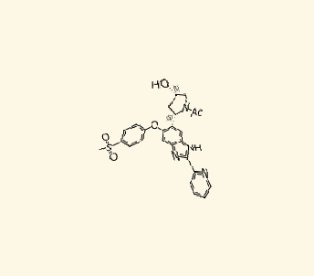 CC(=O)N1C[C@@H](O)C[C@H]1c1cc2[nH]c(-c3ccccn3)nc2cc1Oc1ccc(S(C)(=O)=O)cc1